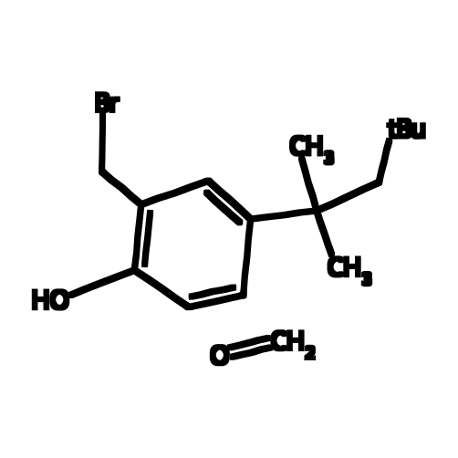 C=O.CC(C)(C)CC(C)(C)c1ccc(O)c(CBr)c1